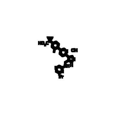 Cc1cc(C2(C(=O)O)CC2)ccc1-c1ccc(-c2cn[nH]c2CNc2cncc(C(C)C)n2)nc1.Cl